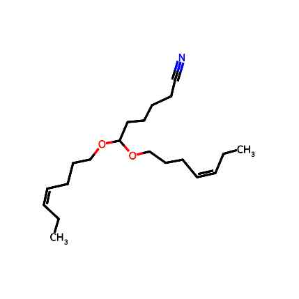 CC/C=C\CCCOC(CCCCC#N)OCCC/C=C\CC